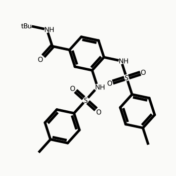 Cc1ccc(S(=O)(=O)Nc2ccc(C(=O)NC(C)(C)C)cc2NS(=O)(=O)c2ccc(C)cc2)cc1